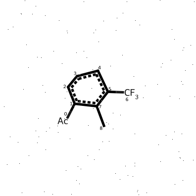 CC(=O)c1cccc(C(F)(F)F)c1C